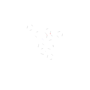 CC1CCC2=C(C1)C1(C3=C(C=CCC3)c3ccccc31)c1cc(N(c3ccc(-c4ccccc4)cc3)C3C=CC(c4ccccc4)=CC3c3ccccc3)ccc12